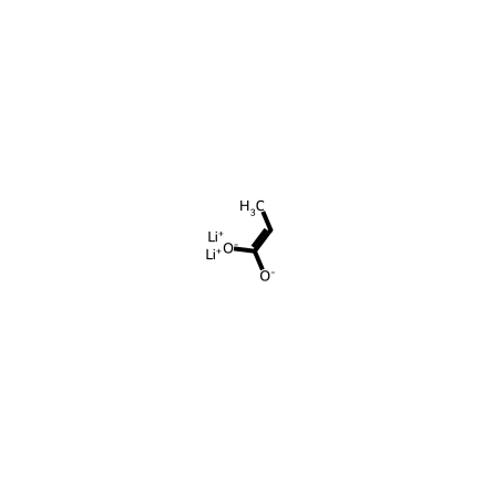 CC=C([O-])[O-].[Li+].[Li+]